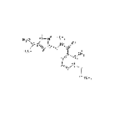 CCC[C@@H]1C=CC=C(C(=O)N(C)Cc2cc(C(C)C)[nH]n2)[C@@H]1C